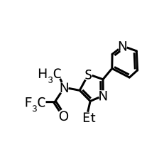 CCc1nc(-c2cccnc2)sc1N(C)C(=O)C(F)(F)F